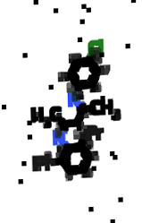 CC(CC(C)=Nc1c(C(C)C)cccc1C(C)C)=Nc1ccc(Cl)cc1